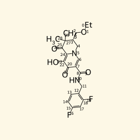 CCOC[C@H]1Cn2cc(C(=O)NCc3ccc(F)cc3F)c(=O)c(O)c2C(=O)C1(C)C